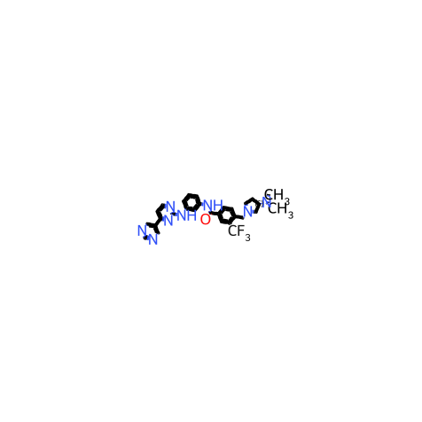 CN(C)[C@H]1CCN(Cc2ccc(C(=O)Nc3cccc(Nc4nccc(-c5cncnc5)n4)c3)cc2C(F)(F)F)C1